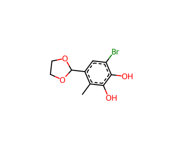 Cc1c(C2OCCO2)cc(Br)c(O)c1O